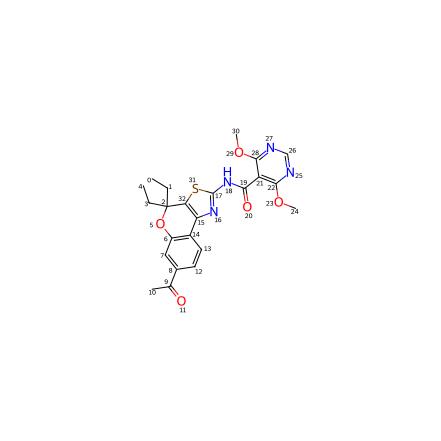 CCC1(CC)Oc2cc(C(C)=O)ccc2-c2nc(NC(=O)c3c(OC)ncnc3OC)sc21